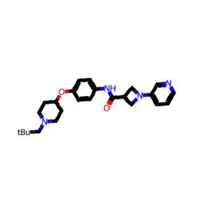 CC(C)(C)CN1CCC(Oc2ccc(NC(=O)C3CN(c4cccnc4)C3)cc2)CC1